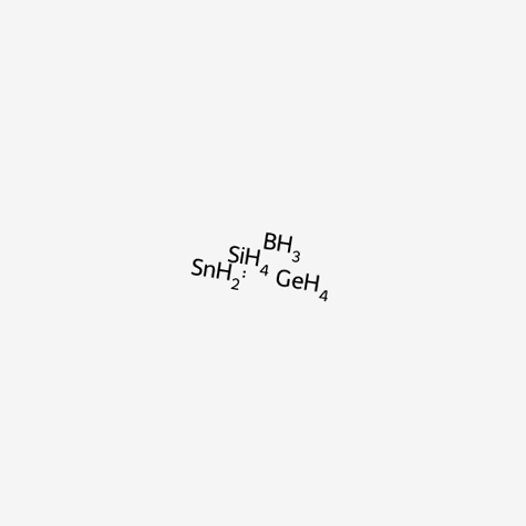 B.[GeH4].[SiH4].[SnH2]